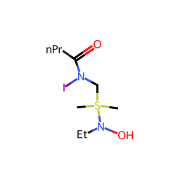 CCCC(=O)N(I)CS(C)(C)N(O)CC